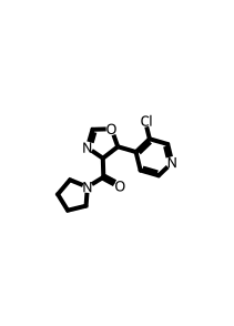 O=C(C1N=COC1c1ccncc1Cl)N1CCCC1